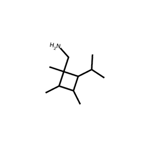 CC(C)C1C(C)C(C)C1(C)CN